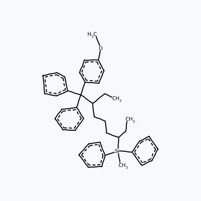 CCC(CCCC(CC)[Si](C)(c1ccccc1)c1ccccc1)C(c1ccccc1)(c1ccccc1)c1ccc(OC)cc1